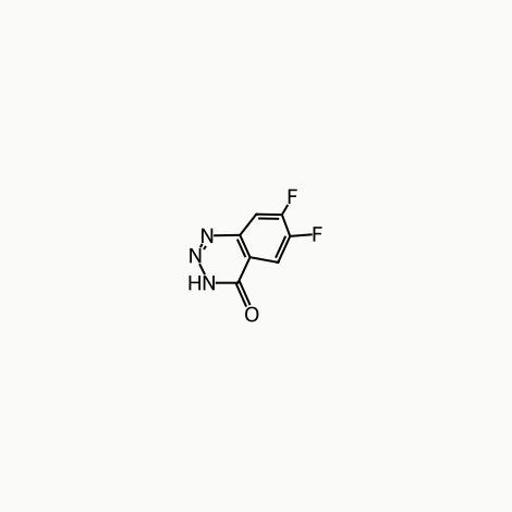 O=c1[nH]nnc2cc(F)c(F)cc12